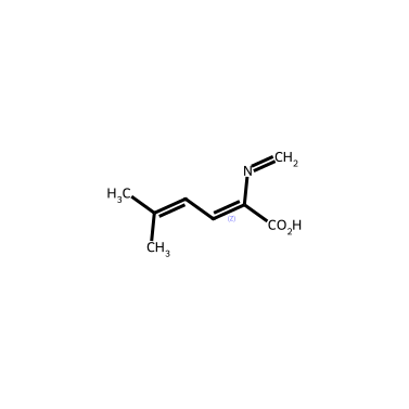 C=N/C(=C\C=C(C)C)C(=O)O